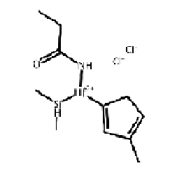 CCC(=O)[NH][Hf+2]([C]1=CC(C)=CC1)[SiH](C)C.[Cl-].[Cl-]